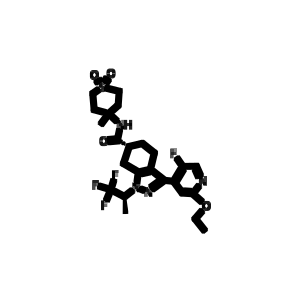 CCOc1cc(-c2nn([C@@H](C)C(F)(F)F)c3c2CC[C@@H](C(=O)NC2(C)CCS(=O)(=O)CC2)C3)c(F)cn1